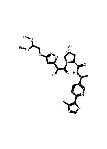 CCOC(COc1cc(C(C(=O)N2C[C@H](O)C[C@H]2C(=O)NC(C)c2ccc(-c3scnc3C)nc2)C(C)C)on1)OCC